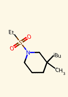 CCC(C)C1(C)CCCN(S(=O)(=O)CC)C1